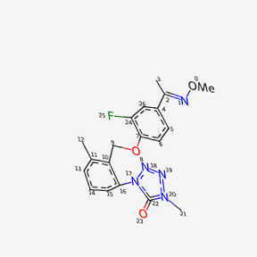 CO/N=C(\C)c1ccc(OCc2c(C)cccc2-n2nnn(C)c2=O)c(F)c1